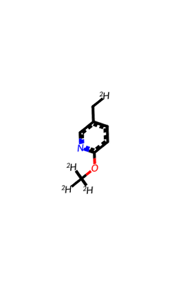 [2H]Cc1ccc(OC([2H])([2H])[2H])nc1